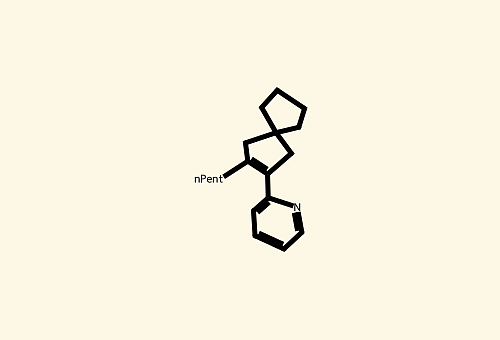 CCCCCC1=C(c2ccccn2)CC2(CCCC2)C1